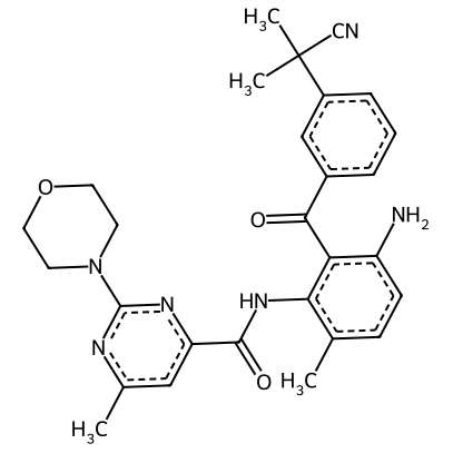 Cc1cc(C(=O)Nc2c(C)ccc(N)c2C(=O)c2cccc(C(C)(C)C#N)c2)nc(N2CCOCC2)n1